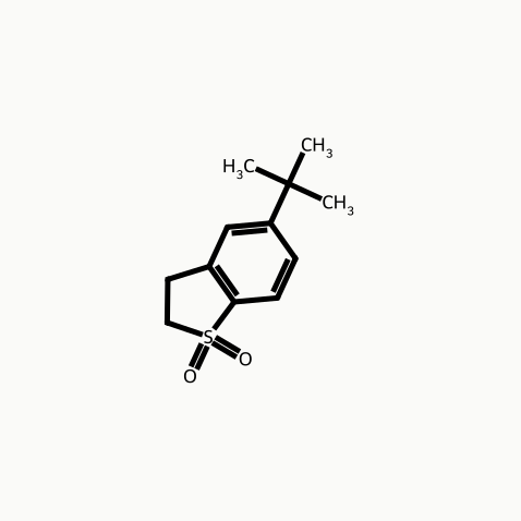 CC(C)(C)c1ccc2c(c1)CCS2(=O)=O